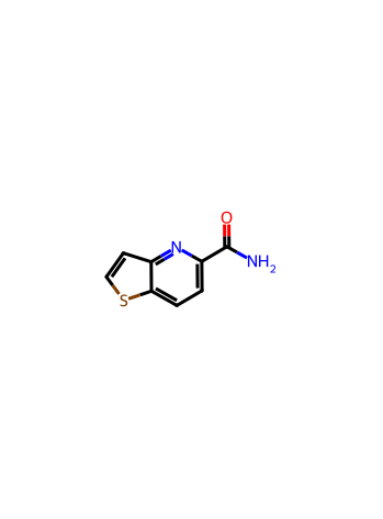 NC(=O)c1ccc2sccc2n1